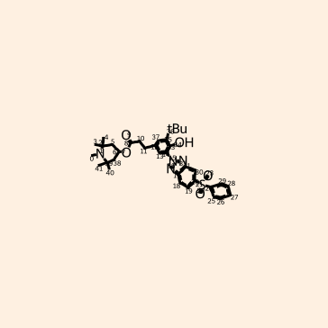 CN1C(C)(C)CC(OC(=O)CCc2cc(-n3nc4ccc(S(=O)(=O)c5ccccc5)cc4n3)c(O)c(C(C)(C)C)c2)CC1(C)C